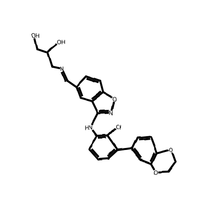 OCC(O)CN=Cc1ccc2onc(Nc3cccc(-c4ccc5c(c4)OCCO5)c3Cl)c2c1